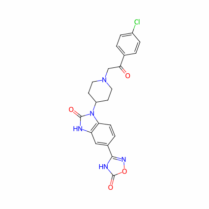 O=C(CN1CCC(n2c(=O)[nH]c3cc(-c4noc(=O)[nH]4)ccc32)CC1)c1ccc(Cl)cc1